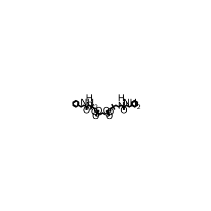 CC(C)(CCNC(=O)[C@@H](N)Cc1ccccc1)COS(=O)(=O)CCCS(=O)(=O)OCC(C)(C)NC(=O)[C@@H](N)Cc1ccccc1